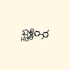 Cc1ccc(C)c(-c2ccc(S(=O)(=O)N3CCSC(C)(C)C3C(=O)O)cc2)c1